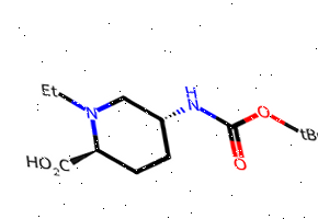 CCN1C[C@H](NC(=O)OC(C)(C)C)CC[C@H]1C(=O)O